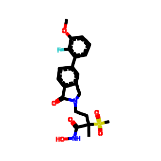 COc1cccc(-c2ccc3c(c2)CN(CCC(C)(C(=O)NO)S(C)(=O)=O)C3=O)c1F